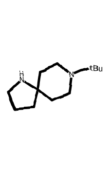 CC(C)(C)N1CCC2(CCCN2)CC1